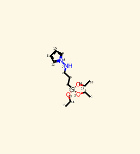 CCO[Si](CCCNn1cccc1)(OCC)OCC